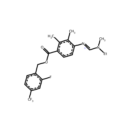 CCN(C)/C=N/c1ccc(C(=O)OCc2ccc(C(F)(F)F)cc2F)c(C)c1C